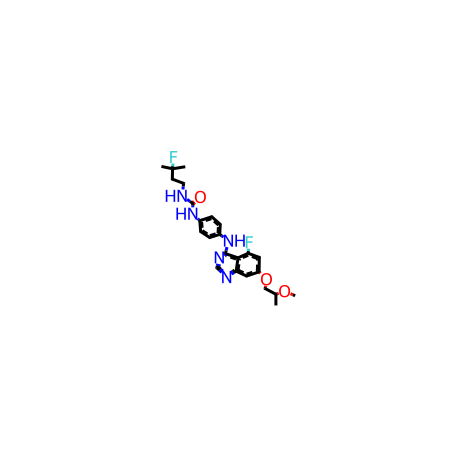 COC(C)COc1cc(F)c2c(Nc3ccc(NC(=O)NCCC(C)(C)F)cc3)ncnc2c1